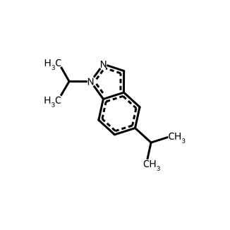 CC(C)c1ccc2c(cnn2C(C)C)c1